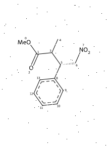 COC(=O)C(C)[C@H](C[N+](=O)[O-])c1ccccc1